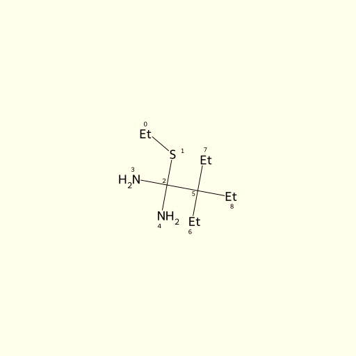 CCSC(N)(N)C(CC)(CC)CC